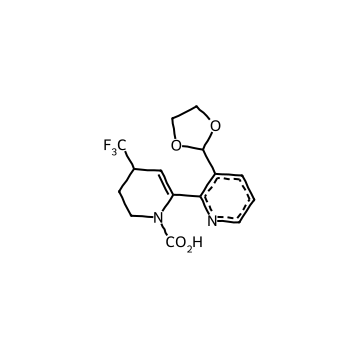 O=C(O)N1CCC(C(F)(F)F)C=C1c1ncccc1C1OCCO1